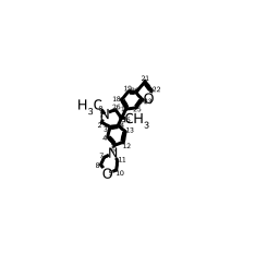 CN1Cc2cc(N3CCOCC3)ccc2C(C)(c2ccc3ccoc3c2)C1